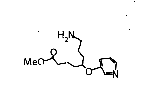 COC(=O)CCCC(CCCN)Oc1cccnc1